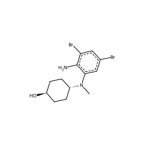 CN(c1cc(Br)cc(Br)c1N)[C@H]1CC[C@H](O)CC1